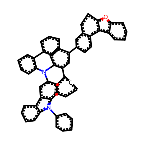 c1ccc(-c2ccccc2N(c2ccc3c(c2)c2ccccc2n3-c2ccccc2)c2ccc(-c3ccc4c(ccc5oc6ccccc6c54)c3)cc2-c2ccccc2)cc1